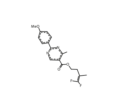 COc1ccc(-c2ncc(C(=O)OCCC(C)=C(F)F)c(C)n2)cc1